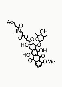 COc1cccc2c1C(=O)c1c(O)c3c(c(O)c1C2=O)CC(O)(C(=O)COC(=O)CNC(=O)CCC(C)=O)C[C@H]3OC1CC(C)C(O)C(C)O1